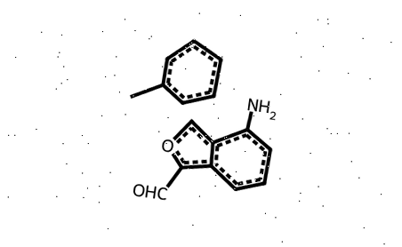 Cc1ccccc1.Nc1cccc2c(C=O)occ12